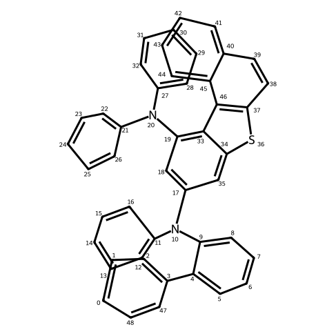 c1ccc(-c2ccccc2N(c2ccccc2)c2cc(N(c3ccccc3)c3ccccc3)c3c(c2)sc2ccc4ccccc4c23)cc1